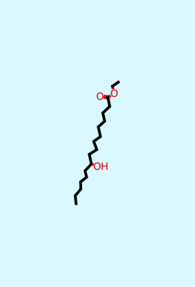 CCCCCCC(O)CCCCCCCCC(=O)OCC